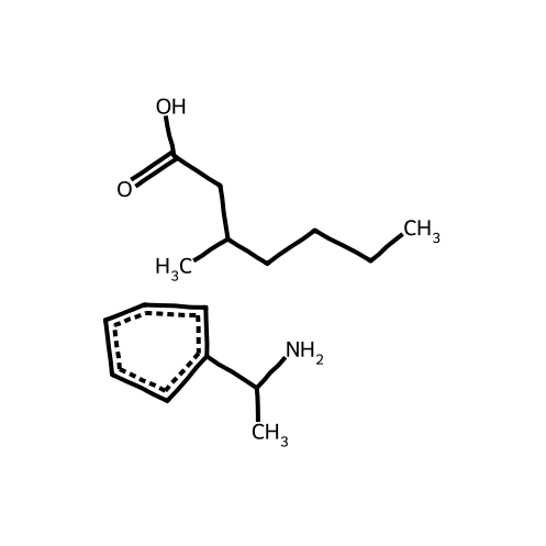 CC(N)c1ccccc1.CCCCC(C)CC(=O)O